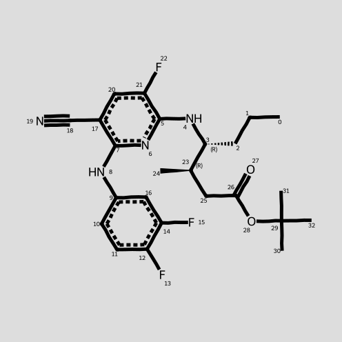 CCC[C@@H](Nc1nc(Nc2ccc(F)c(F)c2)c(C#N)cc1F)[C@H](C)CC(=O)OC(C)(C)C